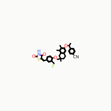 Cc1c(OC(C)c2ccc(C#N)cc2)cc2c(c1C)CC(C)(COc1ccc(C=C3SC(=O)NC3=O)cc1CF)CC2